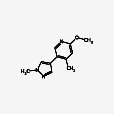 COc1cc(C)c(-c2cnn(C)c2)cn1